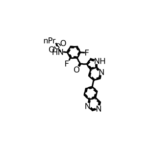 CCCS(=O)(=O)Nc1ccc(F)c(C(=O)c2c[nH]c3ncc(-c4ccc5ncncc5c4)cc23)c1F